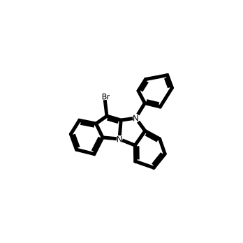 Brc1c2ccccc2n2c3ccccc3n(-c3ccccc3)c12